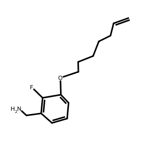 C=CCCCCCOc1cccc(CN)c1F